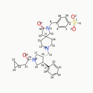 CS(=O)(=O)c1ccc(CN2CC3(CCN(C[C@H]4CN(C(=O)CC5CC5)C[C@@H]4c4ccccc4)CC3)CC2=O)cc1